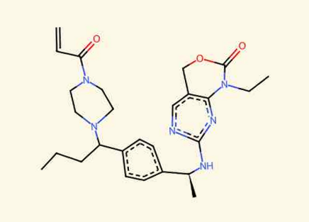 C=CC(=O)N1CCN(C(CCC)c2ccc([C@H](C)Nc3ncc4c(n3)N(CC)C(=O)OC4)cc2)CC1